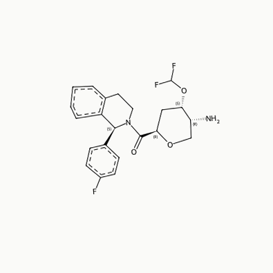 N[C@@H]1CO[C@@H](C(=O)N2CCc3ccccc3[C@@H]2c2ccc(F)cc2)C[C@@H]1OC(F)F